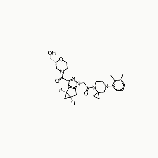 Cc1cccc(N2CCN(C(=O)Cn3nc(C(=O)N4CCO[C@@H](CO)C4)c4c3C[C@H]3C[C@@H]43)C3(CC3)C2)c1C